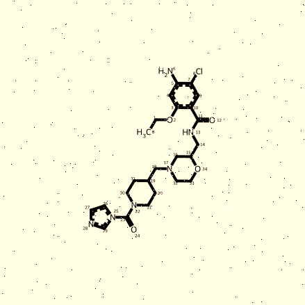 CCOc1cc(N)c(Cl)cc1C(=O)NCC1CN(CC2CCN(C(=O)n3ccnc3)CC2)CCO1